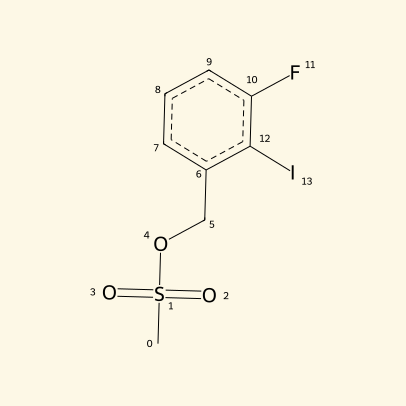 CS(=O)(=O)OCc1cccc(F)c1I